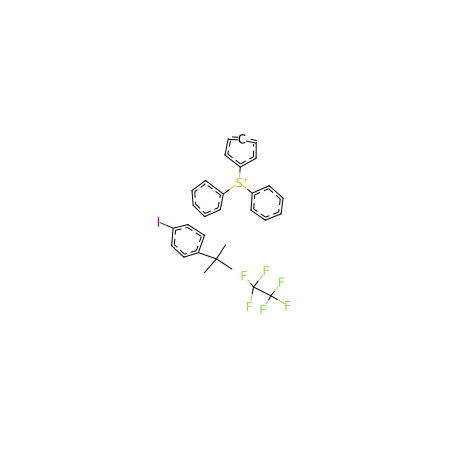 CC(C)(C)c1ccc(I)cc1.FC(F)(F)C(F)(F)F.c1ccc([S+](c2ccccc2)c2ccccc2)cc1